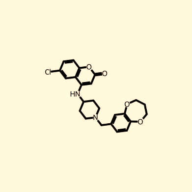 O=c1cc(NC2CCN(Cc3ccc4c(c3)OCCCO4)CC2)c2cc(Cl)ccc2o1